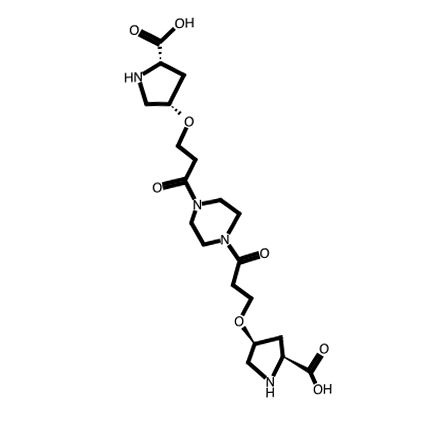 O=C(O)[C@@H]1C[C@H](OCCC(=O)N2CCN(C(=O)CCO[C@@H]3CN[C@H](C(=O)O)C3)CC2)CN1